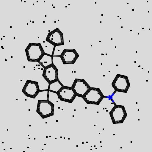 c1ccc(N(c2ccccc2)c2ccc3c(ccc4c5c(ccc43)C(c3ccccc3)(c3ccccc3)c3cc4c(cc3-5)C(c3ccccc3)(c3ccccc3)c3ccccc3-4)c2)cc1